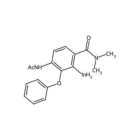 CC(=O)Nc1ccc(C(=O)N(C)C)[c]([InH2])c1Oc1ccccc1